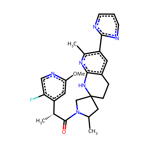 COc1cc([C@@H](C)C(=O)N2CC3(CCc4cc(-c5ncccn5)c(C)nc4N3)CC2C)c(F)cn1